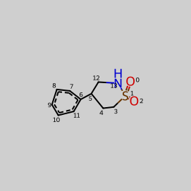 O=S1(=O)CCC(c2ccccc2)CN1